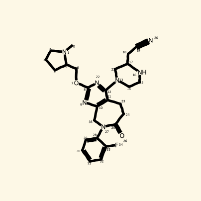 CN1CCCC1COc1nc2c(c(N3CCNC(CC#N)C3)n1)CCC(=O)N(c1ccccc1F)C2